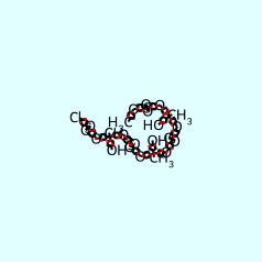 Cc1ccc(Oc2ccc(S(=O)(=O)c3ccc(Oc4ccc(C(C)(c5ccc(O)cc5)c5ccc(Oc6ccc(S(=O)(=O)c7ccc(Oc8ccc(C(C)(c9ccc(O)cc9)c9ccc(Oc%10ccc(S(=O)(=O)c%11ccc(Oc%12ccc(C(C)(c%13ccc(O)cc%13)c%13ccc(Oc%14ccc(S(=O)(=O)c%15ccc(Cl)cc%15)cc%14)cc%13)cc%12)cc%11)cc%10)cc9)cc8)cc7)cc6)cc5)cc4)cc3)cc2)cc1